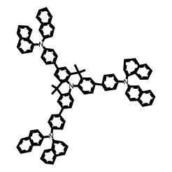 CC1(C)c2cc(-c3ccc(N(c4ccc5ccccc5c4)c4cccc5ccccc45)cc3)ccc2N2c3ccc(-c4ccc(N(c5ccc6ccccc6c5)c5cccc6ccccc56)cc4)cc3C(C)(C)c3cc(-c4ccc(N(c5ccc6ccccc6c5)c5cccc6ccccc56)cc4)cc1c32